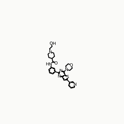 O=C(Nc1cccc(-c2nc(N3CCOCC3)c3sc(-c4cccnc4)cc3n2)c1)C1CCN(CCO)CC1